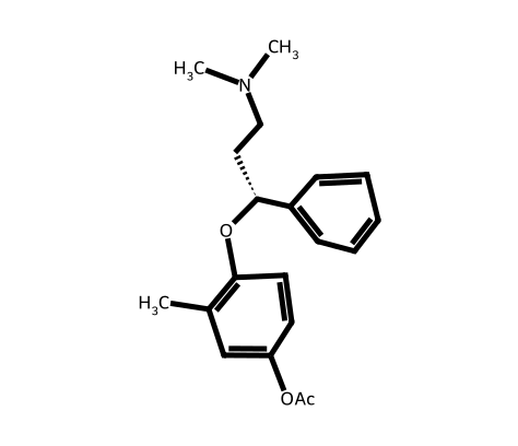 CC(=O)Oc1ccc(O[C@H](CCN(C)C)c2ccccc2)c(C)c1